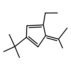 CCC1=CC(C(C)(C)C)=CC1=C(C)C